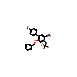 CC(C)c1cc(-c2ccc(F)cc2)c(OCc2ccccc2)c2c1CC(C)(C)O2